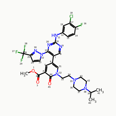 COC(=O)c1cc(-c2cnc(Nc3ccc(F)c(Cl)c3)nc2-n2ccc(C(F)(F)F)n2)cn(CCN2CCN(C(C)C)CC2)c1=O